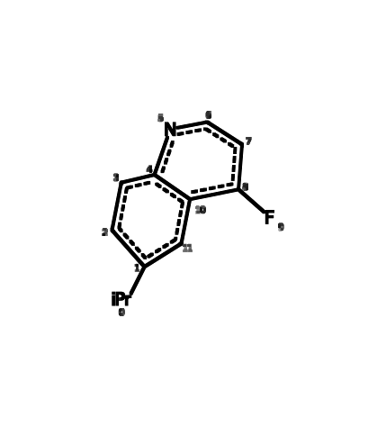 CC(C)c1ccc2nccc(F)c2c1